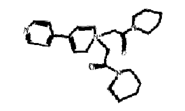 O=C(C[N+]1(CC(=O)N2CCCCC2)C=CC(c2ccncc2)=CC1)N1CCCCC1